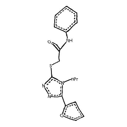 CCCn1c(SCC(=O)Nc2ccccc2)nnc1-c1ccco1